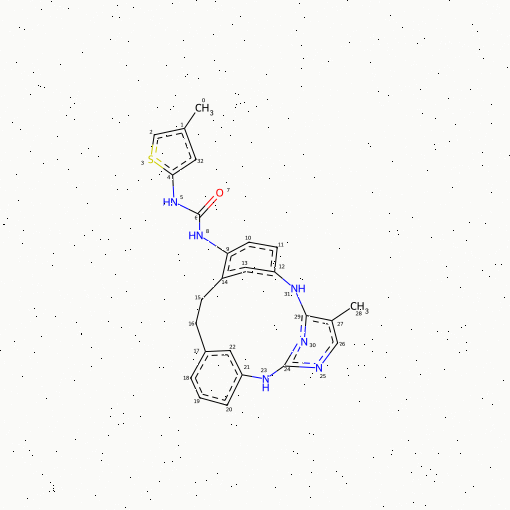 Cc1csc(NC(=O)Nc2ccc3cc2CCc2cccc(c2)Nc2ncc(C)c(n2)N3)c1